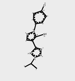 CC(C)n1nnc(-c2cnn(-c3ccc(Cl)cc3)c2S)n1